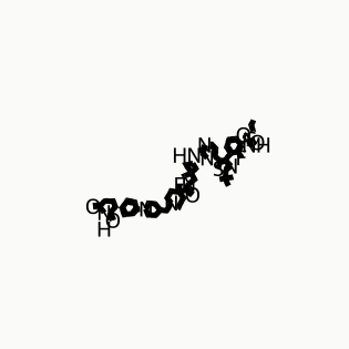 CCCS(=O)(=O)Nc1cccc(-c2nc(C(C)(C)C)sc2-c2ccnc(NC3CC4(C3)CN(C(=O)C3(F)CCN(CC5CCN(c6ccc([C@H]7CCC(=O)NC7=O)cc6)CC5)CC3)C4)n2)c1F